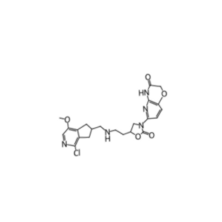 COc1cnc(Cl)c2c1CC(CNCCC1CN(c3ccc4c(n3)NC(=O)CO4)C(=O)O1)C2